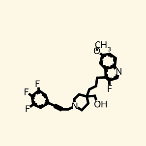 COc1ccc2ncc(F)c(CCCC3(CO)CCN(CC#Cc4cc(F)c(F)c(F)c4)CC3)c2c1